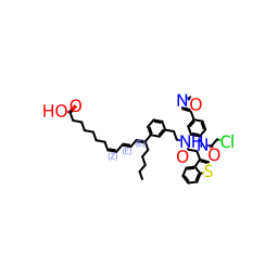 CCCCC\C(=C/C=C/C=C\CCCCCCC(=O)O)c1cccc(CCNC(=O)C(c2csc3ccccc23)N(C(=O)CCl)c2ccc(-c3cnco3)cc2)c1